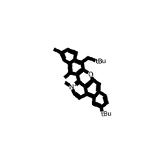 Cc1ccc2c(CC(C)(C)C)c3c(c(C)c2c1)-c1c2c(cc4ccc(C(C)(C)C)cc4c2cc[n+]1C)O3